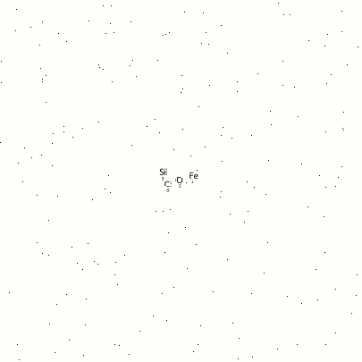 [C].[Fe].[O].[Si]